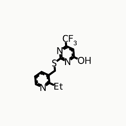 CCc1ncccc1CSc1nc(O)cc(C(F)(F)F)n1